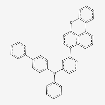 c1ccc(-c2ccc(N(c3ccccc3)c3cccc(-c4ccc5c6c(cccc46)-c4ccccc4O5)c3)cc2)cc1